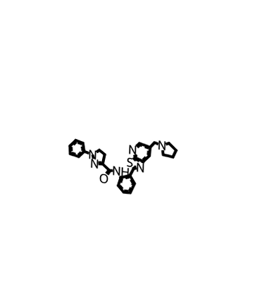 O=C(Nc1ccccc1-c1nc2cc(CN3CCCC3)cnc2s1)C1=NN(c2ccccc2)CC1